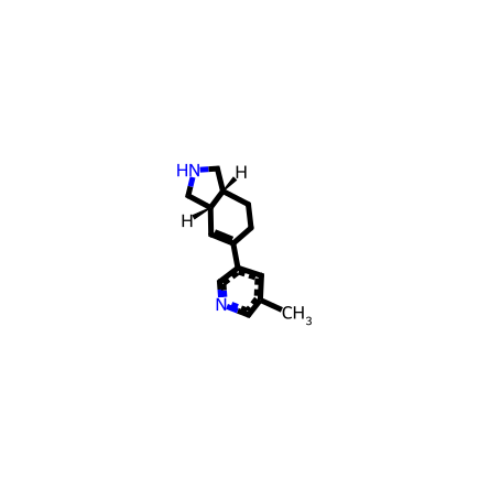 Cc1cncc(C2=C[C@@H]3CNC[C@@H]3CC2)c1